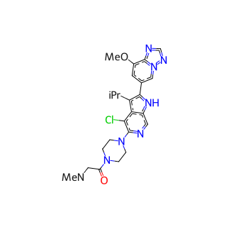 CNCC(=O)N1CCN(c2ncc3[nH]c(-c4cc(OC)c5ncnn5c4)c(C(C)C)c3c2Cl)CC1